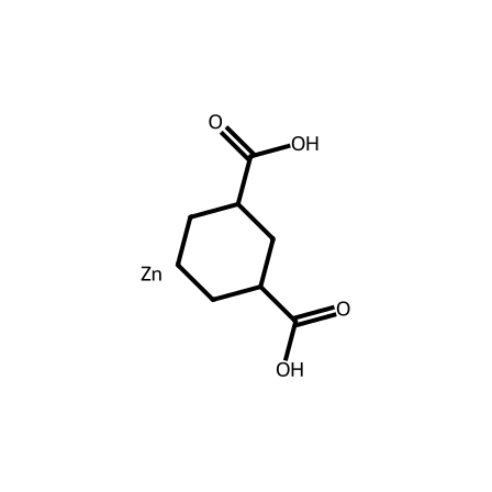 O=C(O)C1CCCC(C(=O)O)C1.[Zn]